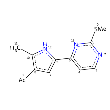 CSc1nccc(-c2cc(C(C)=O)c(C)[nH]2)n1